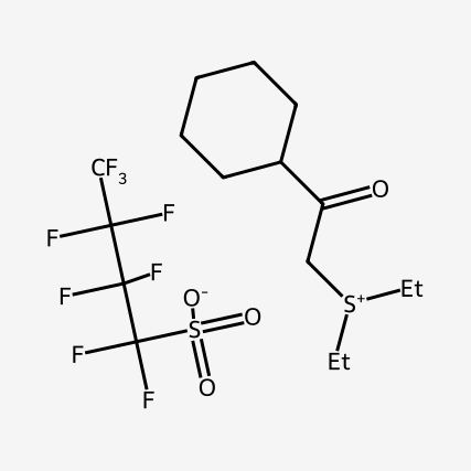 CC[S+](CC)CC(=O)C1CCCCC1.O=S(=O)([O-])C(F)(F)C(F)(F)C(F)(F)C(F)(F)F